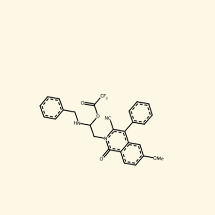 COc1ccc2c(=O)n(CC(NCc3ccccc3)OC(=O)C(F)(F)F)c(C#N)c(-c3ccccc3)c2c1